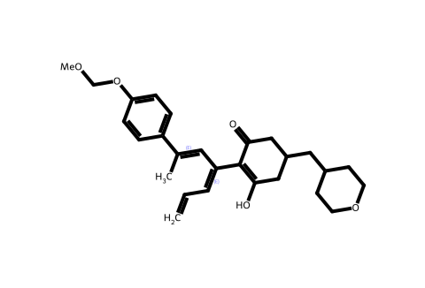 C=C/C=C(\C=C(/C)c1ccc(OCOC)cc1)C1=C(O)CC(CC2CCOCC2)CC1=O